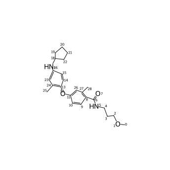 COCCCNC(=O)c1ccc(Oc2ccc(NC3CCCC3)cc2C)cc1C